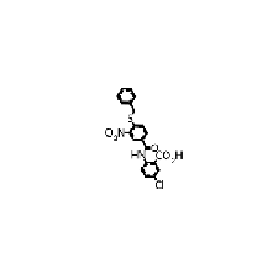 O=C(Nc1ccc(Cl)cc1C(=O)O)c1ccc(SCc2ccccc2)c([N+](=O)[O-])c1